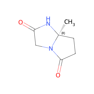 C[C@]12CCC(=O)N1CC(=O)N2